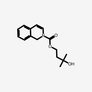 CC(C)(O)CCOC(=O)N1C=Cc2ccccc2C1